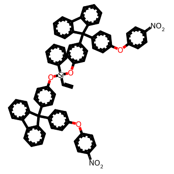 C=C[Si](Oc1ccc(C2(c3ccc(Oc4ccc([N+](=O)[O-])cc4)cc3)c3ccccc3-c3ccccc32)cc1)(Oc1ccc(C2(c3ccc(Oc4ccc([N+](=O)[O-])cc4)cc3)c3ccccc3-c3ccccc32)cc1)c1ccccc1